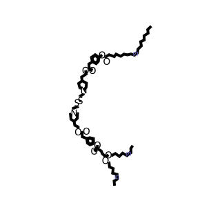 CC/C=C\CCCCOC(CCC(=O)Oc1ccc(CC(=O)OCCC2CCN(CCSSCCN3CCC(CCOC(=O)Cc4ccc(OC(=O)CCCCCCC/C=C\CCCCCCCC)cc4)CC3)CC2)cc1)OCCCC/C=C\CC